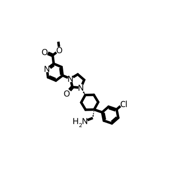 COC(=O)c1cc(N2CCN([C@H]3CC[C@](CN)(c4cccc(Cl)c4)CC3)C2=O)ccn1